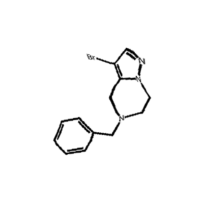 Brc1cnn2c1CN(Cc1ccccc1)CC2